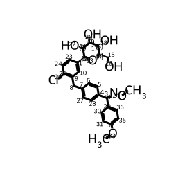 CON=C(c1ccc(Cc2cc([C@@H]3O[C@H](CO)[C@@H](O)[C@H](O)[C@H]3O)ccc2Cl)cc1)c1ccc(OC)cc1